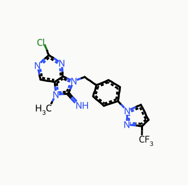 Cn1c(=N)n(Cc2ccc(-n3ccc(C(F)(F)F)n3)cc2)c2nc(Cl)ncc21